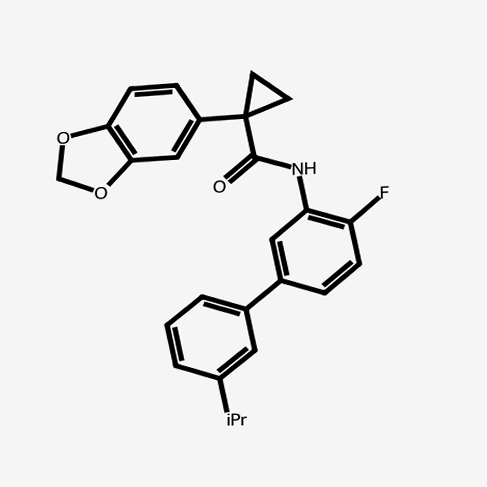 CC(C)c1cccc(-c2ccc(F)c(NC(=O)C3(c4ccc5c(c4)OCO5)CC3)c2)c1